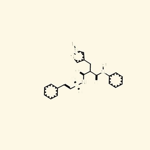 CCN(C(=O)C(Cc1cnn(CC)c1)C(=O)NS(=O)(=O)C=Cc1ccccc1)c1ccccc1